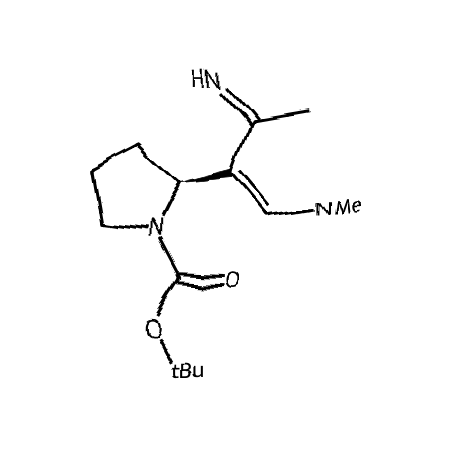 CN/C=C(\C(C)=N)[C@@H]1CCCN1C(=O)OC(C)(C)C